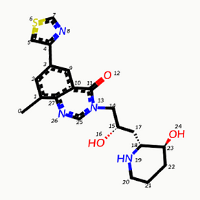 Cc1cc(-c2cscn2)cc2c(=O)n(C[C@@H](O)C[C@H]3NCCC[C@@H]3O)cnc12